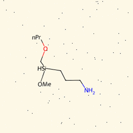 CCCOC[SiH](CCCN)OC